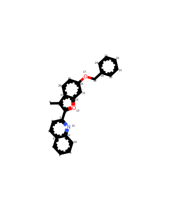 Cc1c(-c2ccc3ccccc3n2)oc2cc(OCc3ccccc3)ccc12